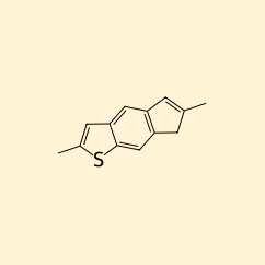 CC1=Cc2cc3cc(C)sc3cc2C1